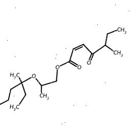 CCCC(C)(CC)OC(C)COC(=O)/C=C\C(=O)C(C)CC